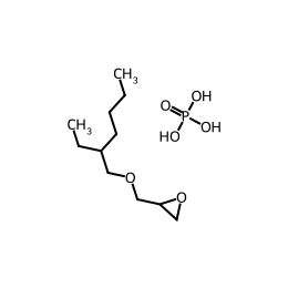 CCCCC(CC)COCC1CO1.O=P(O)(O)O